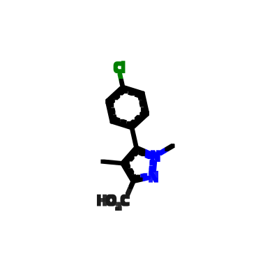 Cc1c(C(=O)O)nn(C)c1-c1ccc(Cl)cc1